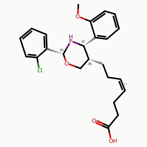 COc1ccccc1[C@H]1P[C@@H](c2ccccc2Cl)OC[C@H]1CC/C=C\CCC(=O)O